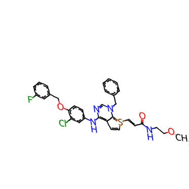 COCCNC(=O)/C=C/S1=C2C(=C(Nc3ccc(OCc4cccc(F)c4)c(Cl)c3)N=CN2Cc2ccccc2)C=C1